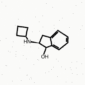 OC1c2ccccc2C[C@@H]1NC1CCC1